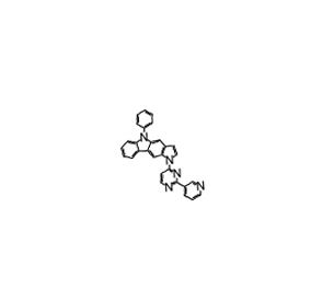 c1ccc(-n2c3ccccc3c3cc4c(ccn4-c4ccnc(-c5cccnc5)n4)cc32)cc1